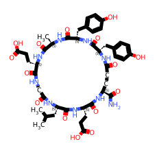 CC(C)C[C@@H]1NC(=O)CNC(=O)[C@H](CCC(=O)O)NC(=O)[C@H](C)NC(=O)[C@H](Cc2ccc(O)cc2)NC(=O)[C@H](Cc2ccc(O)cc2)NC(=O)CC[C@@H](C(N)=O)NC(=O)[C@H](CCC(=O)O)NC1=O